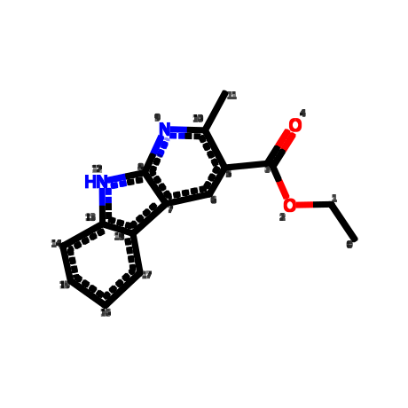 CCOC(=O)c1cc2c(nc1C)[nH]c1ccccc12